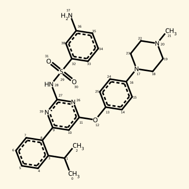 CC(C)c1ccccc1-c1cc(Oc2ccc(N3CCN(C)CC3)cc2)nc(NS(=O)(=O)c2cccc(N)c2)n1